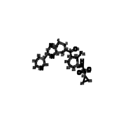 O=C(c1ccc2ncc(-c3cccnc3)nc2c1)c1cccc(NS(=O)(=O)C2CC2)c1F